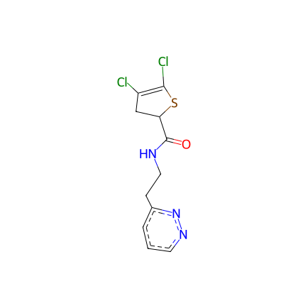 O=C(NCCc1cccnn1)C1CC(Cl)=C(Cl)S1